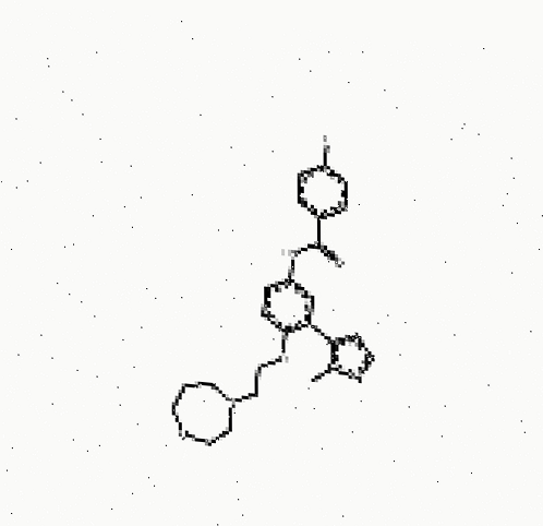 Cn1nccc1-c1cc(NC(=O)c2ccc(F)cc2)ccc1OCCN1CCCOCC1